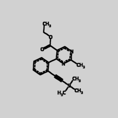 CCOC(=O)c1cnc(C)nc1-c1ccccc1C#C[Si](C)(C)C